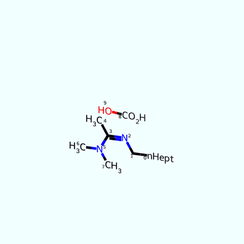 CCCCCCCCN=C(C)N(C)C.O=C(O)O